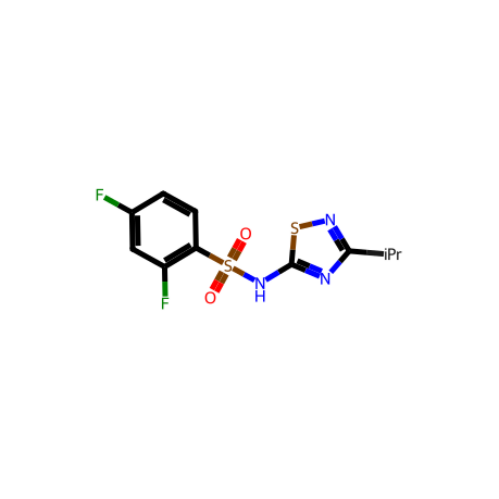 CC(C)c1nsc(NS(=O)(=O)c2ccc(F)cc2F)n1